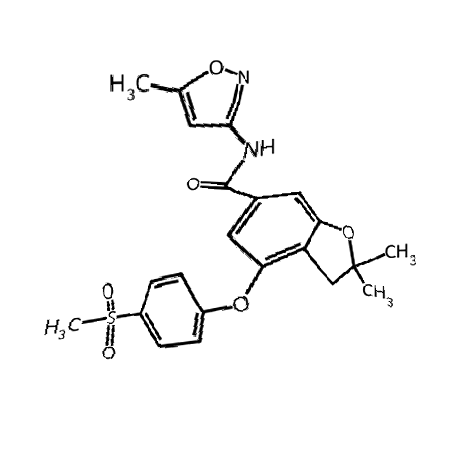 Cc1cc(NC(=O)c2cc(Oc3ccc(S(C)(=O)=O)cc3)c3c(c2)OC(C)(C)C3)no1